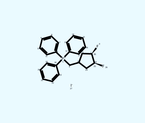 F[C@@H]1CC(C[P+](c2ccccc2)(c2ccccc2)c2ccccc2)C[C@@H]1F.[I-]